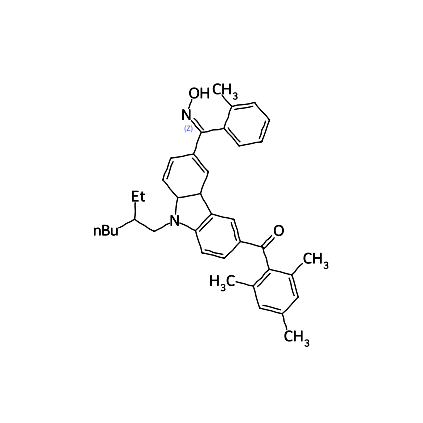 CCCCC(CC)CN1c2ccc(C(=O)c3c(C)cc(C)cc3C)cc2C2C=C(/C(=N/O)c3ccccc3C)C=CC21